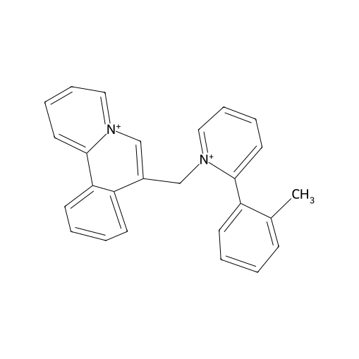 Cc1ccccc1-c1cccc[n+]1Cc1c[n+]2ccccc2c2ccccc12